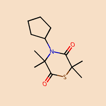 CC1(C)SC(=O)C(C)(C)N(C2CCCC2)C1=O